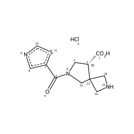 Cl.O=C(O)[C@H]1CN(C(=O)c2cncs2)CC12CNC2